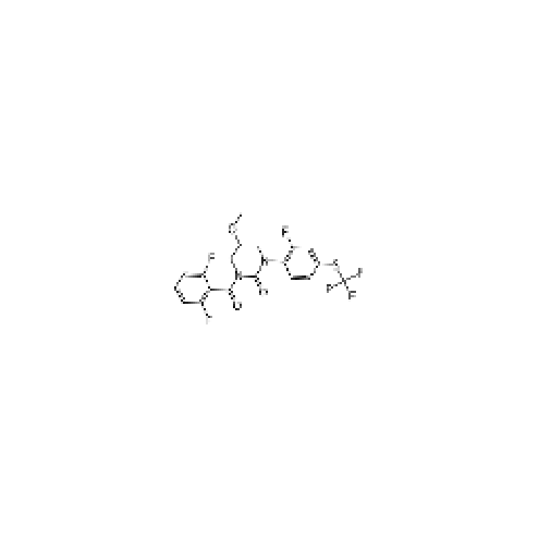 COCCN(C(=O)c1c(F)cccc1F)C(=O)N(C)c1ccc(SC(F)(F)F)cc1F